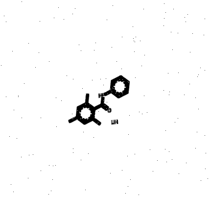 Cc1cc(C)c(C(=O)Pc2ccccc2)c(C)c1.[LiH]